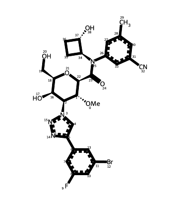 CO[C@@H]1[C@@H](n2cc(-c3cc(F)cc(Br)c3)nn2)[C@@H](O)[C@@H](CO)O[C@H]1C(=O)N(c1cc(C)cc(C#N)c1)[C@H]1CC[C@@H]1O